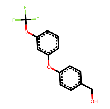 OCc1ccc(Oc2cccc(OC(F)(F)F)c2)cc1